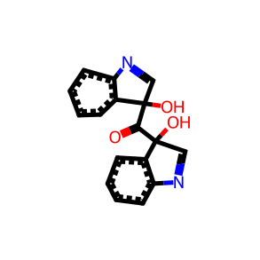 O=C(C1(O)C=Nc2ccccc21)C1(O)C=Nc2ccccc21